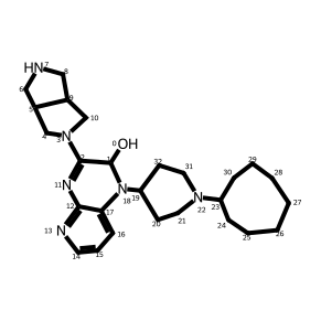 OC1C(N2CC3CNCC3C2)=Nc2ncccc2N1C1CCN(C2CCCCCCC2)CC1